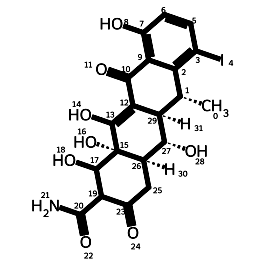 C[C@H]1c2c(I)ccc(O)c2C(=O)C2=C(O)[C@]3(O)C(O)C(C(N)=O)C(=O)C[C@@H]3[C@@H](O)[C@@H]21